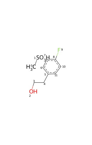 CS(=O)(=O)O.OCCc1ccc(F)cc1